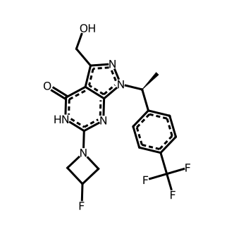 C[C@@H](c1ccc(C(F)(F)F)cc1)n1nc(CO)c2c(=O)[nH]c(N3CC(F)C3)nc21